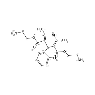 CC1=C(C(=O)OCCN)C(c2ccccc2Cl)C(C(=O)OCCN)=C(C)N1